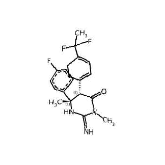 CN1C(=N)N[C@](C)(c2ccc(F)cc2)[C@H](C2=CC=C(C(C)(F)F)CC2)C1=O